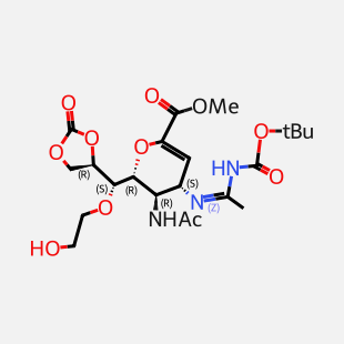 COC(=O)C1=C[C@H](/N=C(/C)NC(=O)OC(C)(C)C)[C@@H](NC(C)=O)[C@H]([C@H](OCCO)[C@H]2COC(=O)O2)O1